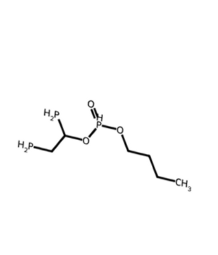 CCCCO[PH](=O)OC(P)CP